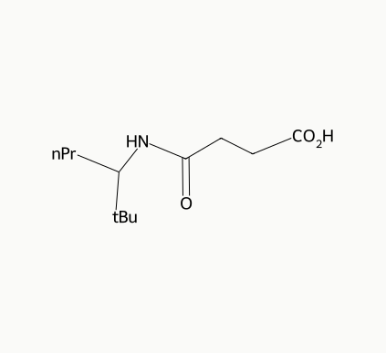 CCCC(NC(=O)CCC(=O)O)C(C)(C)C